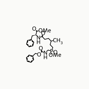 COC(=O)[C@H](Cc1ccccc1)NC(=O)CCC(C)CCP(=O)(CNC(=O)OCc1ccccc1)OC